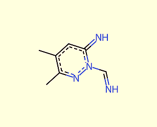 Cc1cc(=N)n(C=N)nc1C